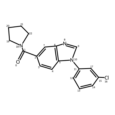 O=C(c1ccc2c(c1)ncn2-c1cccc(Cl)c1)N1CCCC1